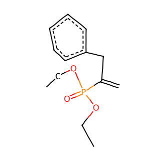 C=C(Cc1ccccc1)P(=O)(OCC)OCC